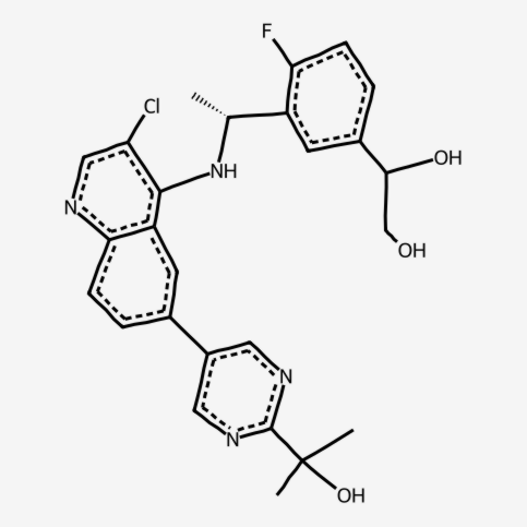 C[C@@H](Nc1c(Cl)cnc2ccc(-c3cnc(C(C)(C)O)nc3)cc12)c1cc(C(O)CO)ccc1F